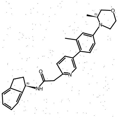 Cc1cc(N2CCOC[C@@H]2C)ccc1-c1ccc(CC(=O)N[C@@H]2CCc3ccccc32)nc1